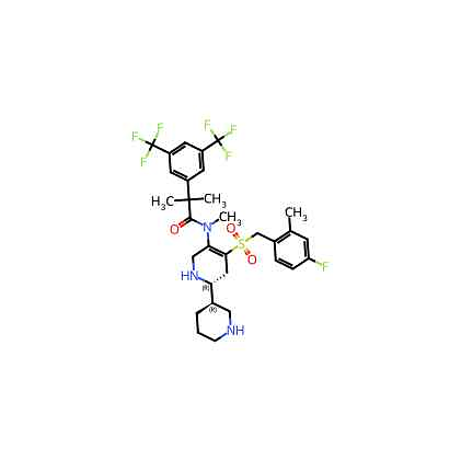 Cc1cc(F)ccc1CS(=O)(=O)C1=C(N(C)C(=O)C(C)(C)c2cc(C(F)(F)F)cc(C(F)(F)F)c2)CN[C@@H]([C@@H]2CCCNC2)C1